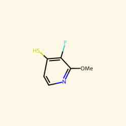 COc1nccc(S)c1F